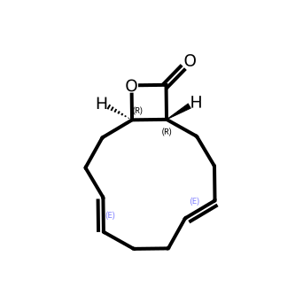 O=C1O[C@@H]2CC/C=C/CC/C=C/CC[C@@H]12